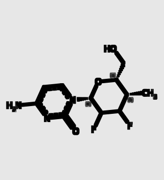 C[C@@H]1C(F)C(F)[C@H](n2ccc(N)nc2=O)O[C@@H]1CO